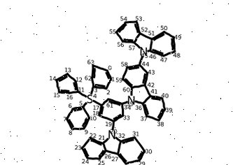 c1ccc(S(c2ccccc2)(c2ccccc2)c2cc(-n3c4ccccc4c4ccccc43)cc(-n3c4ccccc4c4cc(-n5c6ccccc6c6ccccc65)ccc43)c2)cc1